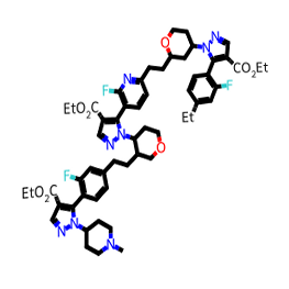 CCOC(=O)c1cnn(C2CCN(C)CC2)c1-c1ccc(CCC2COCCC2n2ncc(C(=O)OCC)c2-c2ccc(CCC3CC(n4ncc(C(=O)OCC)c4-c4ccc(CC)cc4F)CCO3)nc2F)cc1F